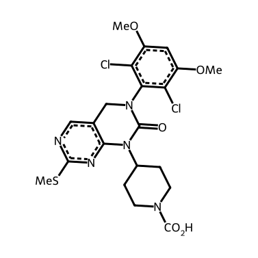 COc1cc(OC)c(Cl)c(N2Cc3cnc(SC)nc3N(C3CCN(C(=O)O)CC3)C2=O)c1Cl